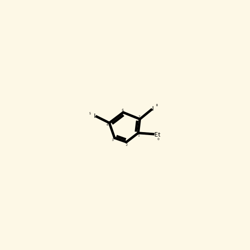 CCc1ccc(I)cc1I